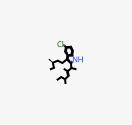 CCC(C)/C=C(\C)C(C)c1[nH]c2ccc(Cl)cc2c1CC[C@H](C)CC